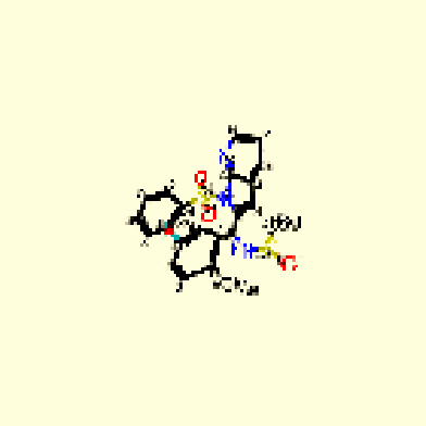 COc1ccc(F)cc1[C@H](N[S+]([O-])C(C)(C)C)c1cc2cccnc2n1S(=O)(=O)c1ccccc1